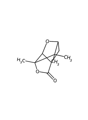 CC1(C)C2CC3C(=O)OC1(C)C3O2